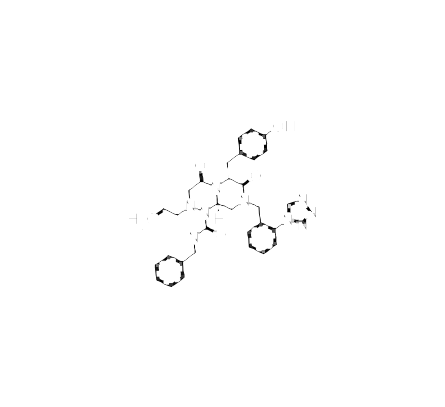 C=CCN1CC(=O)N2[C@@H](Cc3ccc(O)cc3)C(=O)N(Cc3ccccc3-n3cnnn3)C[C@@H]2N1C(=O)NCc1ccccc1